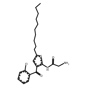 CCCCCCCCCCc1cc(C(=O)c2ccccc2Cl)c(NC(=O)CN)s1